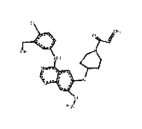 C=CC(=O)N1CCC(Oc2cc3c(Nc4ccc(Cl)c(CO)c4)ncnc3cc2OC)CC1